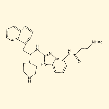 CC(=O)NCCC(=O)Nc1cccc2[nH]c(NC(Cc3cccc4ccccc34)C3CCNCC3)nc12